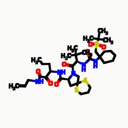 C=CCNC(=O)C(=O)C(CCC)NC(=O)[C@@H]1CC2(CN1C(=O)[C@@H](NC(=O)NC1(CS(=O)(=O)C(C)(C)C)CCCCC1)C(C)(C)C)SCCCS2